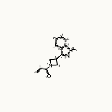 C=CC(=O)N1CC(c2nn(C)c3ccccc23)C1